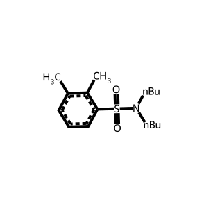 CCCCN(CCCC)S(=O)(=O)c1cccc(C)c1C